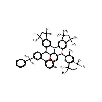 Cc1cc2c(cc1N1c3cc4c(cc3B3c5cc6c(cc5N(c5ccc(C(C)(C)c7ccccc7)cc5-c5ccccc5)c5cc(C(C)(C)C)cc1c53)C(C)(C)CC6(C)C)C(C)(C)CC4(C)C)C(C)(C)CCC2(C)C